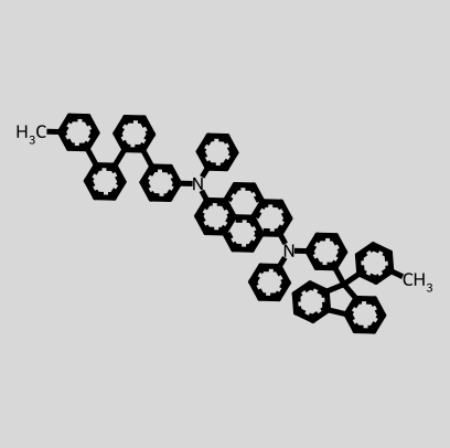 Cc1cccc(-c2ccccc2-c2ccccc2-c2cccc(N(c3ccccc3)c3ccc4ccc5c(N(c6ccccc6)c6cccc(C7(c8cccc(C)c8)c8ccccc8-c8ccccc87)c6)ccc6ccc3c4c65)c2)c1